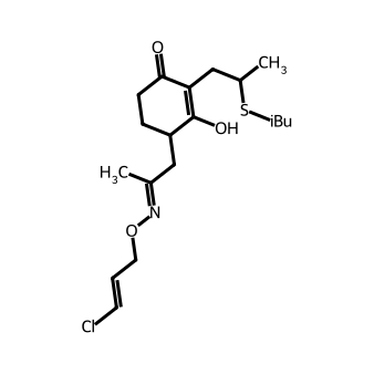 CCC(C)SC(C)CC1=C(O)C(C/C(C)=N/OCC=CCl)CCC1=O